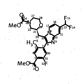 COC(=O)c1cc(C)c(-c2nc3cc(C(F)F)ccn3c2C[C@H]2CN(C(=O)OC)CCO2)cc1F